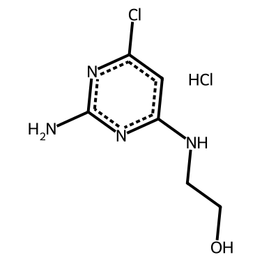 Cl.Nc1nc(Cl)cc(NCCO)n1